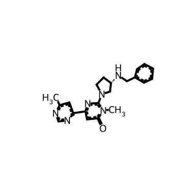 Cc1cc(-c2cc(=O)n(C)c(N3CC[C@H](NCc4ccccc4)C3)n2)ncn1